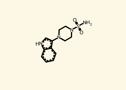 NS(=O)(=O)N1CCN(c2c[nH]c3ccccc23)CC1